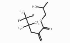 C=C(CC(C(F)(F)F)(C(F)(F)F)C(F)(F)C(F)(F)F)C(=O)OCC(C)O